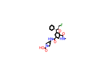 CNC(=O)c1cc(C(=O)NC2C3CN(C(=O)O)CC32)cc2c1O[C@H](CF)[C@H]2c1ccccc1